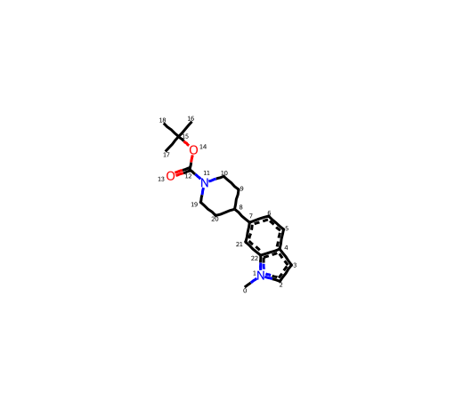 Cn1ccc2ccc(C3CCN(C(=O)OC(C)(C)C)CC3)cc21